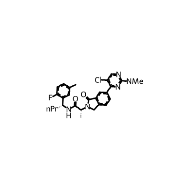 CCC[C@@H](NC(=O)[C@@H](C)N1Cc2ccc(-c3nc(NC)ncc3Cl)cc2C1=O)c1cc(C)ccc1F